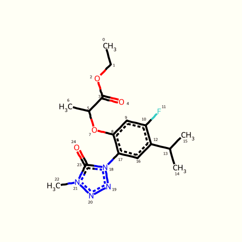 CCOC(=O)C(C)Oc1cc(F)c(C(C)C)cc1-n1nnn(C)c1=O